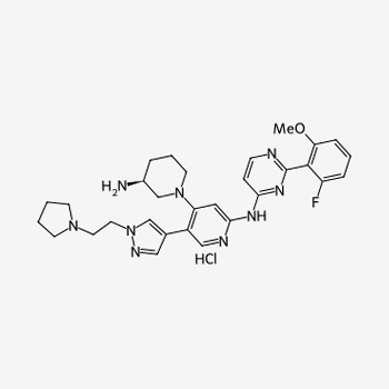 COc1cccc(F)c1-c1nccc(Nc2cc(N3CCC[C@H](N)C3)c(-c3cnn(CCN4CCCC4)c3)cn2)n1.Cl